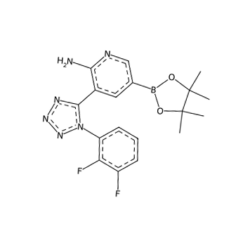 CC1(C)OB(c2cnc(N)c(-c3nnnn3-c3cccc(F)c3F)c2)OC1(C)C